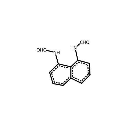 O=[C]Nc1cccc2cccc(N[C]=O)c12